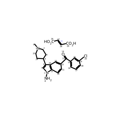 CN1CCC(c2cn(N)c3ccc(C(=O)c4cccc(Cl)c4)cc23)CC1.O=C(O)/C=C/C(=O)O